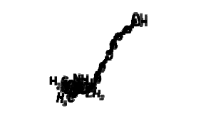 C=C(CNC(=N)C(C)(C)CC(CC(C)C(=O)OCCCOCCCOCCCOCCCOCCCOCCCOCCCO)C(=O)CC)OO